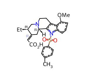 CC[C@H]1CN2CCc3c(n(S(=O)(=O)c4ccc(C)cc4)c4cccc(OC)c34)[C@@H]2C/C1=C\C(=O)O